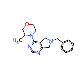 CC1COCCN1c1ncnc2c1CN(Cc1ccccc1)C2